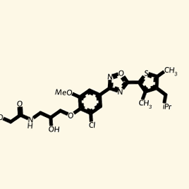 COc1cc(-c2noc(-c3sc(C)c(CC(C)C)c3C)n2)cc(Cl)c1OCC(O)CNC(=O)CO